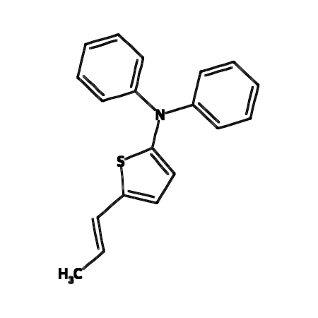 C/C=C/c1ccc(N(c2ccccc2)c2ccccc2)s1